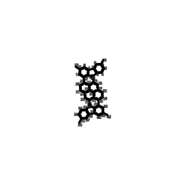 Cc1ccc2c(c1)-c1cc(C)cc3c1B2c1cc2ccc4c5c(cc6ccc-3c1c6c25)B1c2ccc(C)cc2-c2cc(C)cc-4c21